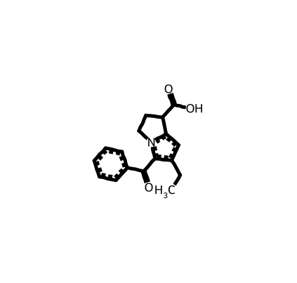 CCc1cc2n(c1C(=O)c1ccccc1)CCC2C(=O)O